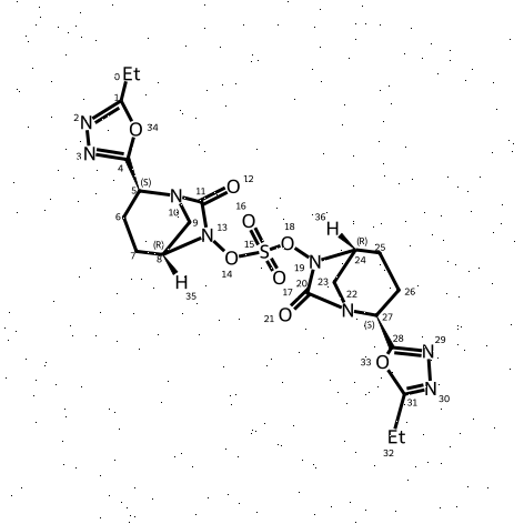 CCc1nnc([C@@H]2CC[C@@H]3CN2C(=O)N3OS(=O)(=O)ON2C(=O)N3C[C@H]2CC[C@H]3c2nnc(CC)o2)o1